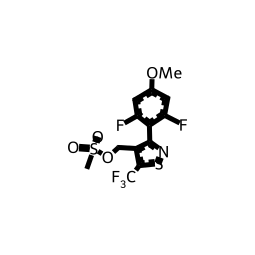 COc1cc(F)c(-c2nsc(C(F)(F)F)c2COS(C)(=O)=O)c(F)c1